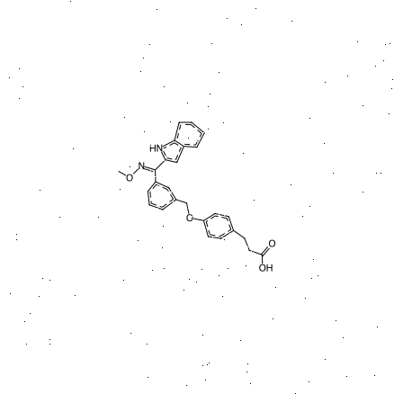 CO/N=C(\c1cccc(COc2ccc(CCC(=O)O)cc2)c1)c1cc2ccccc2[nH]1